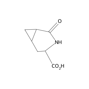 O=C(O)C1CC2CC2C(=O)N1